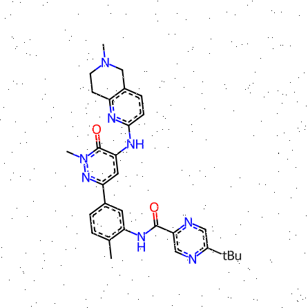 Cc1ccc(-c2cc(Nc3ccc4c(n3)CCN(C)C4)c(=O)n(C)n2)cc1NC(=O)c1cnc(C(C)(C)C)cn1